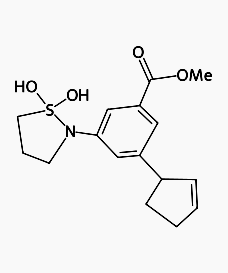 COC(=O)c1cc(C2C=CCC2)cc(N2CCCS2(O)O)c1